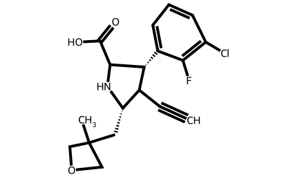 C#CC1[C@@H](c2cccc(Cl)c2F)C(C(=O)O)N[C@H]1CC1(C)COC1